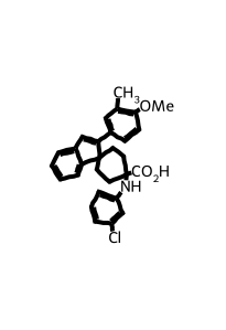 COc1ccc(C2=Cc3ccccc3C23CCC(Nc2cccc(Cl)c2)(C(=O)O)CC3)cc1C